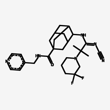 CC(C)(/C(=N\C#N)NC1C2CC3CC1CC(C(=O)NCc1ccncc1)(C3)C2)N1CCCC(F)(F)C1